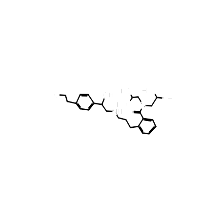 CCCc1ccc(C(O)CNCCCc2ccccc2C(=O)N(CC(C)C)CC(C)C)cc1